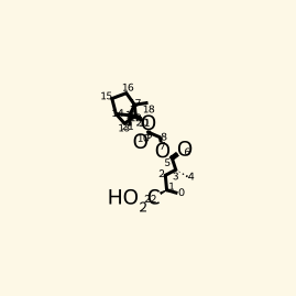 C[C@H](C[C@@H](C)C(=O)OCC(=O)OC1CC2CCC1(C)C2(C)C)C(=O)O